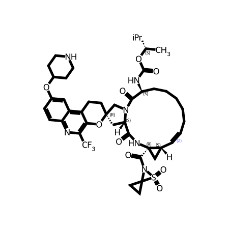 CC(C)[C@H](C)OC(=O)N[C@H]1CCCCC/C=C\[C@@H]2C[C@@]2(C(=O)N2C3(CC3)S2(=O)=O)NC(=O)[C@@H]2C[C@]3(CCc4c(c(C(F)(F)F)nc5ccc(OC6CCNCC6)cc45)O3)CN2C1=O